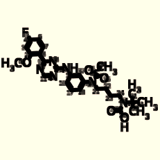 COc1cc(F)ccc1-c1ncnc(Nc2cccc(N(CCCCN(C(=O)O)C(C)(C)C)S(C)(=O)=O)c2)n1